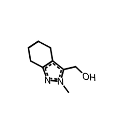 Cn1nc2c(c1CO)CCCC2